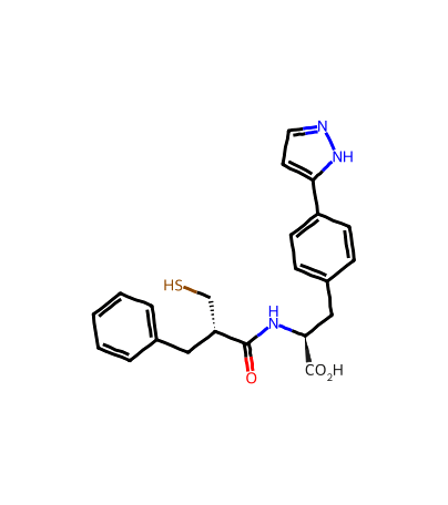 O=C(N[C@@H](Cc1ccc(-c2ccn[nH]2)cc1)C(=O)O)[C@@H](CS)Cc1ccccc1